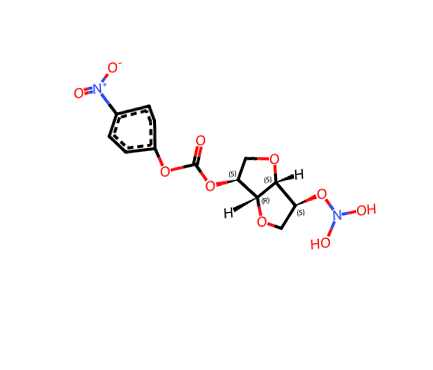 O=C(Oc1ccc([N+](=O)[O-])cc1)O[C@H]1CO[C@H]2[C@@H]1OC[C@@H]2ON(O)O